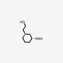 CO[C@@H]1CCCN(CCO)C1